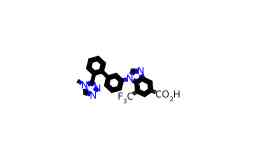 Cn1cnnc1-c1ccccc1-c1cccc(-n2cnc3cc(C(=O)O)cc(C(F)(F)F)c32)c1